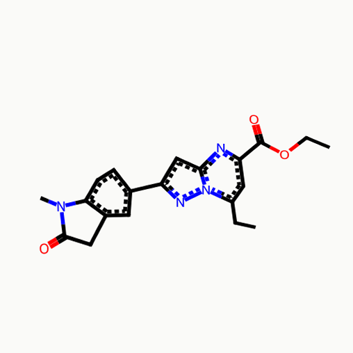 CCOC(=O)c1cc(CC)n2nc(-c3ccc4c(c3)CC(=O)N4C)cc2n1